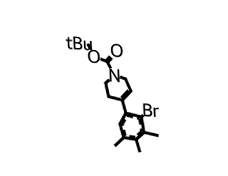 Cc1cc(C2=CCN(C(=O)OC(C)(C)C)CC2)c(Br)c(C)c1C